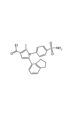 CCC(=O)c1cc(-c2cccc3c2CCC3)n(-c2ccc(S(N)(=O)=O)cc2)c1C